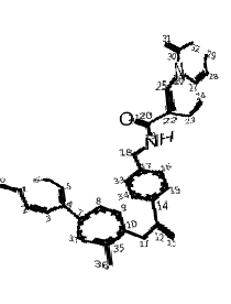 C=C/C=C\C(=C/C)c1ccc(CC(=C)c2ccc(CNC(=O)/C(C=C)=C/N(/C=C\C)C(=C)C)cc2)c(C)c1